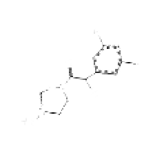 CN1CCN(C(=O)C(O)c2cc(F)cc(F)c2)CC1